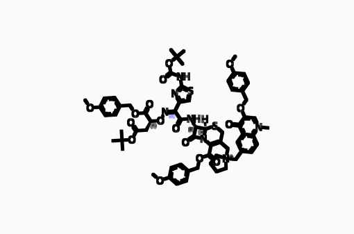 COc1ccc(COC(=O)C2=C(C[N+]3(Cc4ccc5c(c4)c(=O)c(OCc4ccc(OC)cc4)cn5C)CCCC3)CS[C@@H]3[C@H](NC(=O)/C(=N\O[C@@H](CC(=O)OC(C)(C)C)C(=O)OCc4ccc(OC)cc4)c4csc(NC(=O)OC(C)(C)C)n4)C(=O)N23)cc1